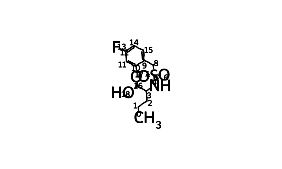 CCCC(NS(=O)(=O)Cc1ccc(F)cc1)C(=O)O